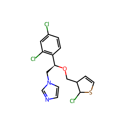 Clc1ccc([C@H](Cn2ccnc2)OCC2C=CSC2Cl)c(Cl)c1